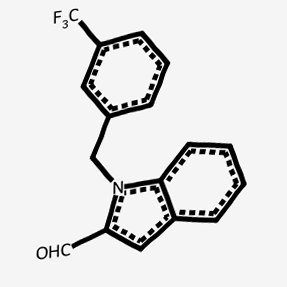 O=Cc1cc2ccccc2n1Cc1cccc(C(F)(F)F)c1